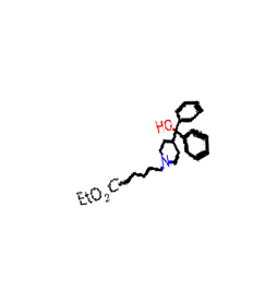 CCOC(=O)CCCCCN1CCC(C(O)(c2ccccc2)c2ccccc2)CC1